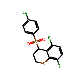 O=S(=O)(c1ccc(Cl)cc1)C1CCSc2c(F)ccc(F)c21